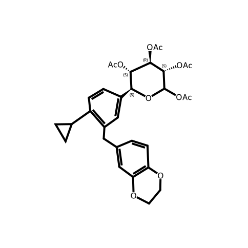 CC(=O)OC1O[C@@H](c2ccc(C3CC3)c(Cc3ccc4c(c3)OCCO4)c2)[C@H](OC(C)=O)[C@@H](OC(C)=O)[C@@H]1OC(C)=O